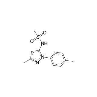 Cc1ccc(-n2nc(C)cc2NS(C)(=O)=O)cc1